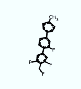 Cc1ccc(-c2ccc(-c3cc(F)c(CF)c(F)c3)c(F)c2)cc1